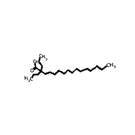 CCCCCCCCCCCCCCC(CCC)(CCC)C(=O)O